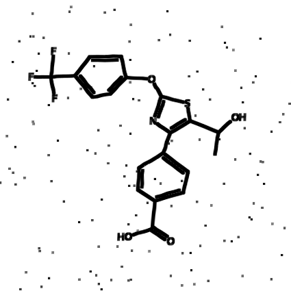 CC(O)c1sc(Oc2ccc(C(F)(F)F)cc2)nc1-c1ccc(C(=O)O)cc1